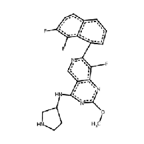 COc1nc(NC2CCNC2)c2cnc(-c3cccc4ccc(F)c(F)c34)c(F)c2n1